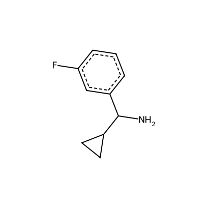 NC(c1cccc(F)c1)C1CC1